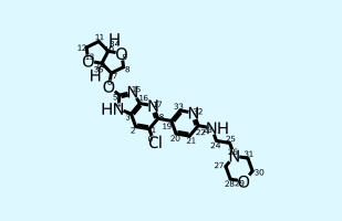 Clc1cc2[nH]c(OC3CO[C@@H]4CCO[C@H]34)nc2nc1-c1ccc(NCCN2CCOCC2)nc1